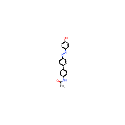 CC(=O)Nc1ccc(-c2ccc(N=Nc3ccc(O)cc3)cc2)cc1